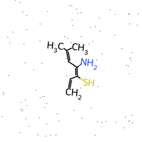 C=C/C(S)=C(/N)C=C(C)C